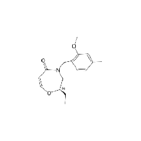 CC[C@@H]1CN(Cc2ccc(C)cc2OC)C(=O)C=CO1